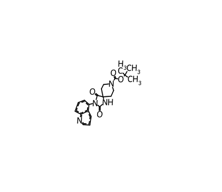 CC(C)(C)OC(=O)N1CCC2(CC1)NC(=O)N(c1cccc3ncccc13)C2=O